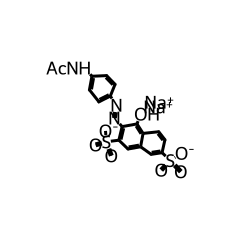 CC(=O)Nc1ccc(N=Nc2c(S(=O)(=O)[O-])cc3cc(S(=O)(=O)[O-])ccc3c2O)cc1.[Na+].[Na+]